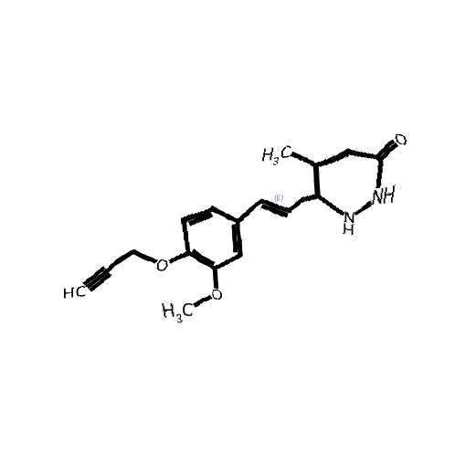 C#CCOc1ccc(/C=C/C2NNC(=O)CC2C)cc1OC